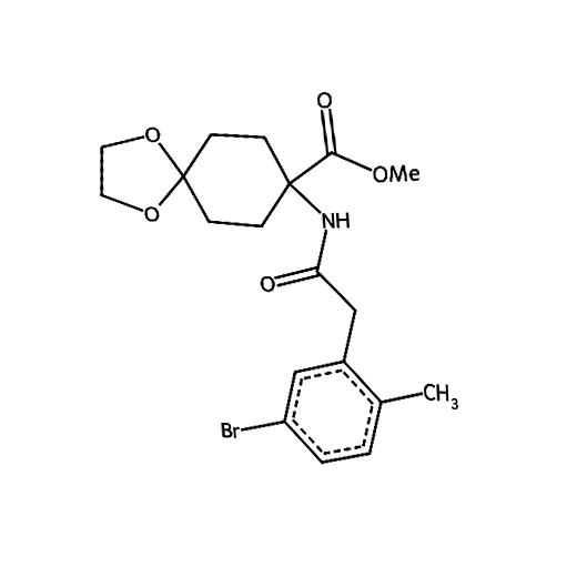 COC(=O)C1(NC(=O)Cc2cc(Br)ccc2C)CCC2(CC1)OCCO2